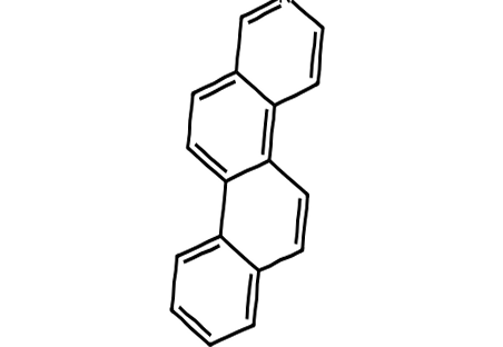 c1ccc2c(c1)ccc1c3ccncc3ccc21